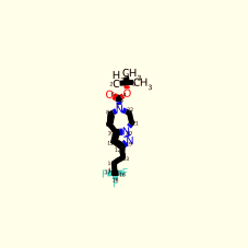 CC(C)(C)OC(=O)N1C=Cc2cc(CCC(F)(F)F)nn2CC1